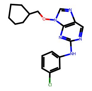 Clc1cccc(Nc2ncc3ncn(OCC4CCCCC4)c3n2)c1